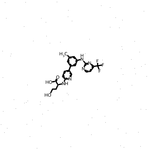 Cc1cc(Nc2nccc(C(F)(F)F)n2)cc(-c2ccc(NC(CCO)C(=O)O)nc2)c1